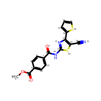 COC(=O)c1ccc(C(=O)Nc2nc(-c3cccs3)c(C#N)s2)cc1